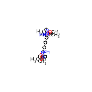 CC(C)(C)OC(=O)N1CCC[C@H]1c1ncc(-c2ccc(-c3ccc(-c4ccc5nc([C@@]6(C)CCCN6C(=O)OC(C)(C)C)[nH]c5c4)cc3)cc2)[nH]1